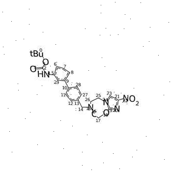 CC(C)(C)OC(=O)Nc1cccc(-c2ccc(CN3CCOc4nc([N+](=O)[O-])cn4CC3)cc2)c1